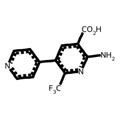 Nc1nc(C(F)(F)F)c(-c2ccncc2)cc1C(=O)O